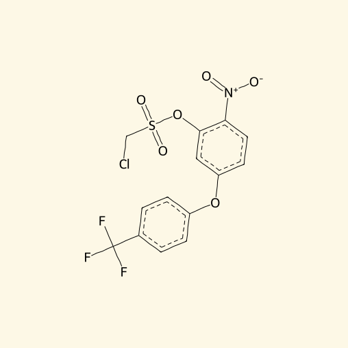 O=[N+]([O-])c1ccc(Oc2ccc(C(F)(F)F)cc2)cc1OS(=O)(=O)CCl